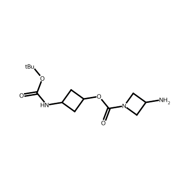 CC(C)(C)OC(=O)NC1CC(OC(=O)N2CC(N)C2)C1